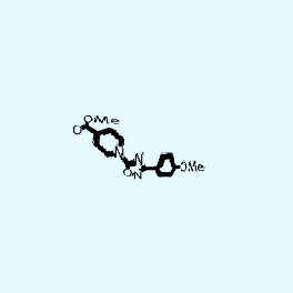 COC(=O)C1CCN(c2nc(-c3ccc(OC)cc3)no2)CC1